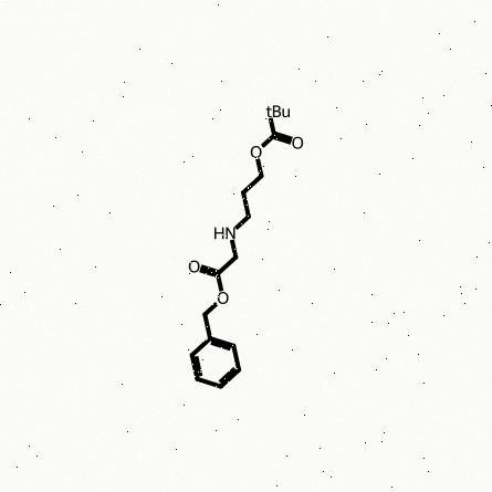 CC(C)(C)C(=O)OCCCNCC(=O)OCc1ccccc1